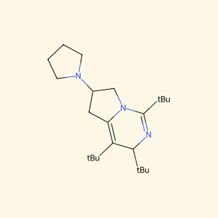 CC(C)(C)C1=NC(C(C)(C)C)C(C(C)(C)C)=C2CC(N3CCCC3)CN12